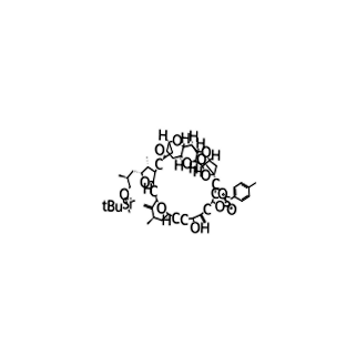 C=C1C2C[C@@H]3O[C@H](C[C@H](C)CO[Si](C)(C)C(C)(C)C)[C@H](C)C3CC(=O)C[C@H]3CC[C@@H]4O[C@@H]5[C@H]6O[C@@H]7C[C@](CC[C@@H](OS(=O)(=O)c8ccc(C)cc8)CC(=C)[C@@H](O)CC[C@@H](C[C@H]1C)O2)(O[C@H]6[C@H]4O3)O[C@H]57